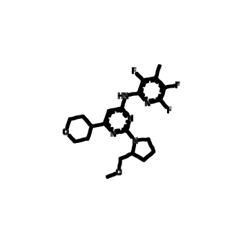 COCC1CCCN1c1nc(Nc2nc(F)c(F)c(C)c2F)cc(C2CCOCC2)n1